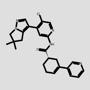 CC1(C)Cc2c(-c3cc(NC(=O)[C@H]4CCC=C(c5cccnc5)C4)ncc3Cl)cnn2C1